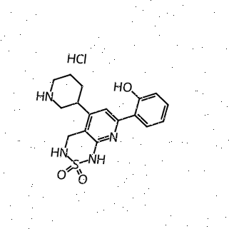 Cl.O=S1(=O)NCc2c(C3CCCNC3)cc(-c3ccccc3O)nc2N1